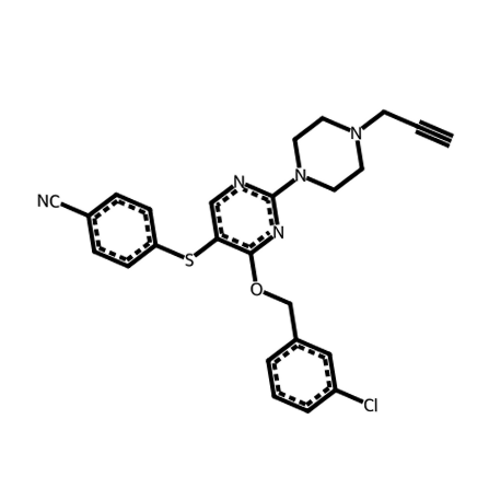 C#CCN1CCN(c2ncc(Sc3ccc(C#N)cc3)c(OCc3cccc(Cl)c3)n2)CC1